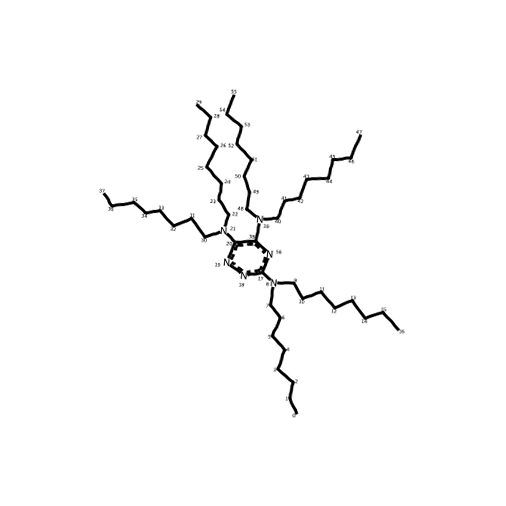 CCCCCCCCN(CCCCCCCC)c1nnc(N(CCCCCCCC)CCCCCCCC)c(N(CCCCCCCC)CCCCCCCC)n1